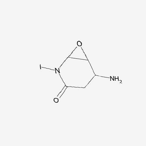 NC1CC(=O)N(I)C2OC12